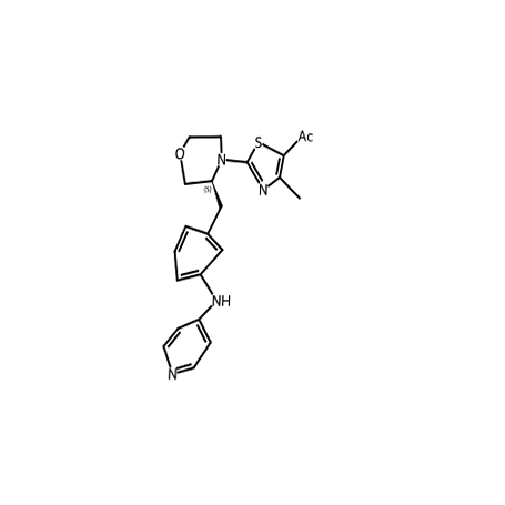 CC(=O)c1sc(N2CCOC[C@@H]2Cc2cccc(Nc3ccncc3)c2)nc1C